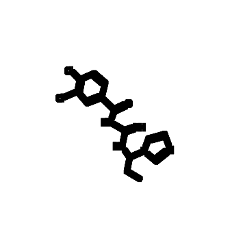 CCC(NC(=N)NC(=O)c1ccc(Cl)c(Cl)c1)n1ccnc1